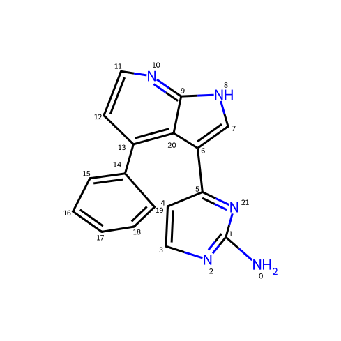 Nc1nccc(-c2c[nH]c3nccc(-c4ccccc4)c23)n1